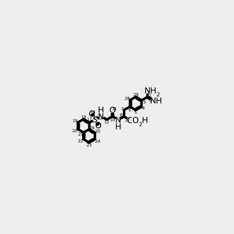 N=C(N)c1ccc(CC(NC(=O)CNS(=O)(=O)c2cccc3ccccc23)C(=O)O)cc1